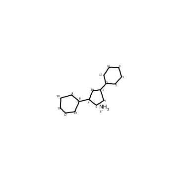 C1CCC(C2CCC(C3CCCCC3)C2)CC1.N